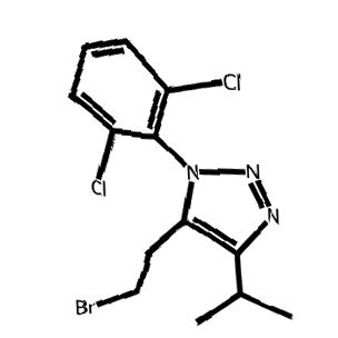 CC(C)c1nnn(-c2c(Cl)cccc2Cl)c1CCBr